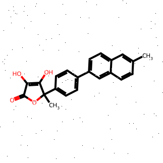 Cc1ccc2cc(-c3ccc(C4(C)OC(=O)C(O)=C4O)cc3)ccc2c1